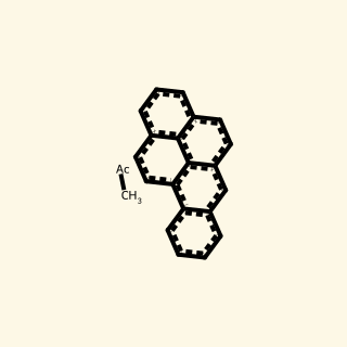 CC(C)=O.c1ccc2c(c1)cc1ccc3cccc4ccc2c1c34